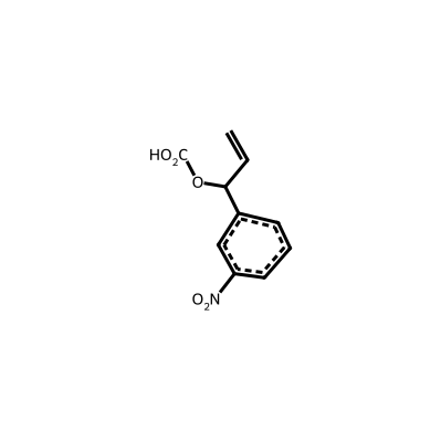 C=CC(OC(=O)O)c1cccc([N+](=O)[O-])c1